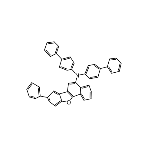 c1ccc(-c2ccc(N(c3ccc(-c4ccccc4)cc3)c3cc4c5cc(-c6ccccc6)ccc5oc4c4ccccc34)cc2)cc1